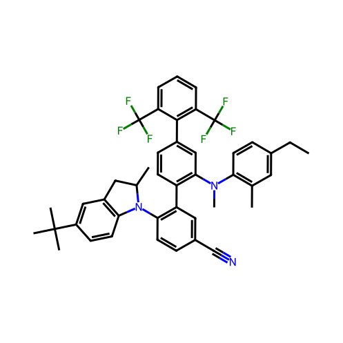 CCc1ccc(N(C)c2cc(-c3c(C(F)(F)F)cccc3C(F)(F)F)ccc2-c2cc(C#N)ccc2N2c3ccc(C(C)(C)C)cc3CC2C)c(C)c1